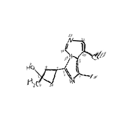 CC1(O)CC(c2nc(I)c3c(Cl)cncn23)C1